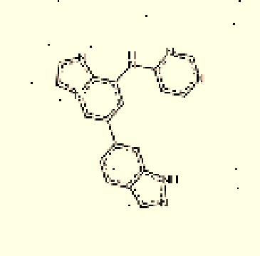 c1cc(Nc2cc(-c3ccc4cn[nH]c4c3)cn3ccnc23)ncn1